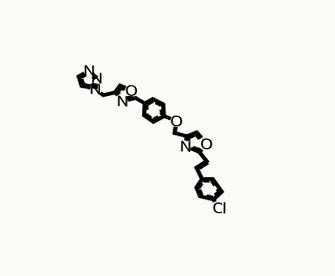 Clc1ccc(C=Cc2nc(COc3ccc(-c4nc(Cn5ccnn5)co4)cc3)co2)cc1